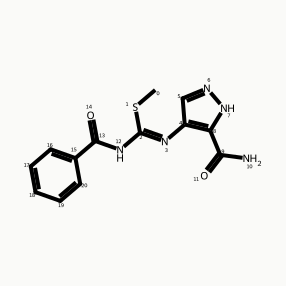 CS/C(=N\c1cn[nH]c1C(N)=O)NC(=O)c1ccccc1